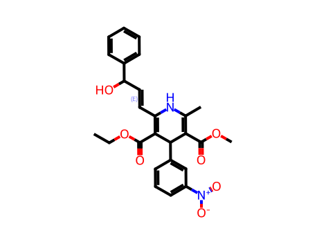 CCOC(=O)C1=C(/C=C/C(O)c2ccccc2)NC(C)=C(C(=O)OC)C1c1cccc([N+](=O)[O-])c1